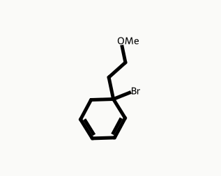 COCCC1(Br)C=CC=CC1